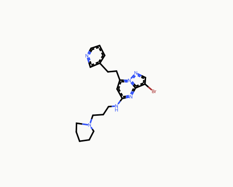 Brc1cnn2c(CCc3cccnc3)cc(NCCCN3CCCCC3)nc12